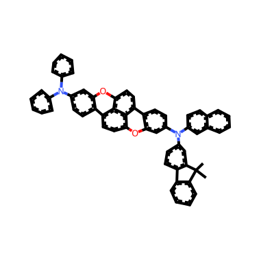 CC1(C)c2ccccc2-c2ccc(N(c3ccc4c(c3)Oc3ccc5c6c(ccc-4c36)Oc3cc(N(c4ccccc4)c4ccccc4)ccc3-5)c3ccc4ccccc4c3)cc21